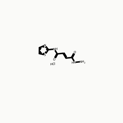 Cl.NNC(=O)/C=C/C(=O)Nc1nccs1